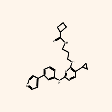 O=C(NCCCNc1nc(Nc2cccc(-c3ccncc3)c2)ncc1C1CC1)C1CCC1